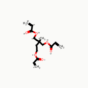 C=CC(=O)OCCC(C)(COC(=O)C=C)COC(=O)C=C